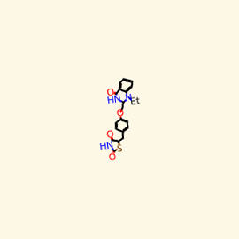 CCN1c2ccccc2C(=O)NC1COc1ccc(CC2SC(=O)NC2=O)cc1